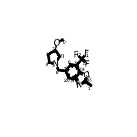 CO[C@@H]1CCN(Cc2cc(C(F)(F)F)c3oc(C)nc3c2)C1